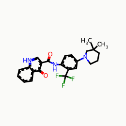 CC1(C)CCCN(c2ccc(NC(=O)c3c[nH]c4ccccc4c3=O)c(C(F)(F)F)c2)C1